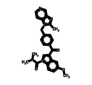 COc1ccc2c(c1)c(C(=O)c1ccc(Cn3c(C)nc4cnccc43)cc1)cn2C(=O)N(C)C